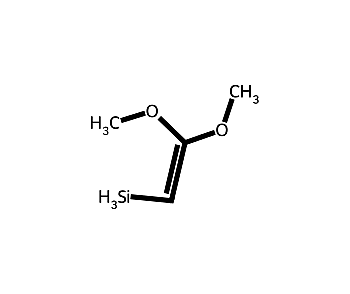 COC(=C[SiH3])OC